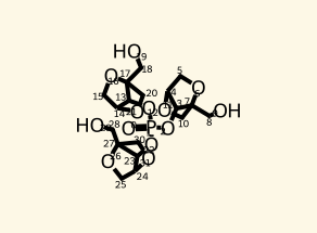 O=P(OC1C2COC1(CO)CO2)(OC1C2COC1(CO)CO2)OC1C2COC1(CO)CO2